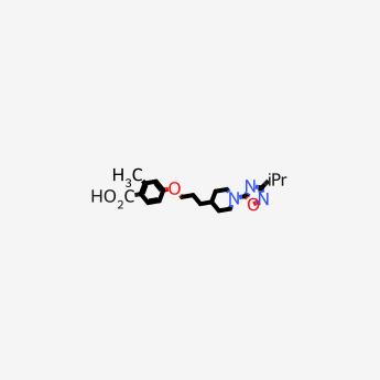 Cc1cc(OCCCC2CCN(c3nc(C(C)C)no3)CC2)ccc1C(=O)O